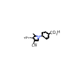 CCCc1c(C#N)cn(-c2ccc(C(=O)O)cc2)c1C